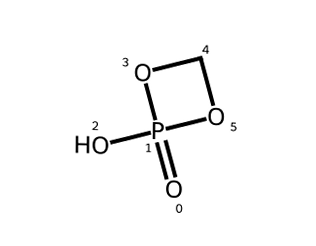 O=P1(O)OCO1